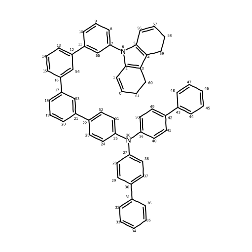 C1=Cc2c(c3c(n2-c2cccc(-c4cccc(-c5cccc(-c6ccc(N(c7ccc(-c8ccccc8)cc7)c7ccc(-c8ccccc8)cc7)cc6)c5)c4)c2)C=CCC3)CC1